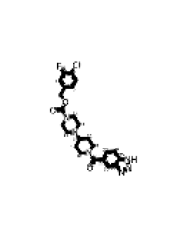 O=C(OCc1ccc(Cl)c(F)c1)N1CCN(C2CCN(C(=O)c3ccc4[nH]nnc4c3)CC2)CC1